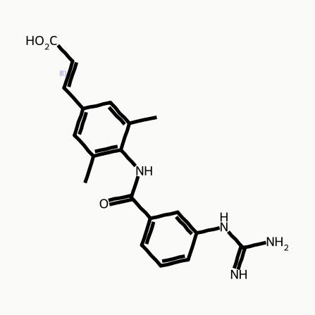 Cc1cc(/C=C/C(=O)O)cc(C)c1NC(=O)c1cccc(NC(=N)N)c1